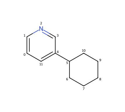 c1cncc(C2CCCCC2)c1